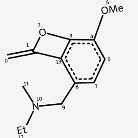 C=C1Oc2c(OC)ccc(CN(C)CC)c21